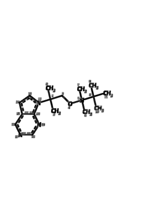 CC(C)(CO[Si](C)(C)C(C)(C)C)n1ccc2cncnc21